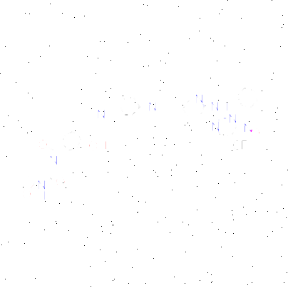 O=C1CCC(N2Cc3cc(C4(O)CCN(Cc5ccc(N6CCC(c7ccc(Nc8ncc(C(F)(F)F)c(N9OCC[C@H]9c9ccccc9)n8)nc7)CC6)cc5)CC4)ccc3C2=O)C(=O)N1